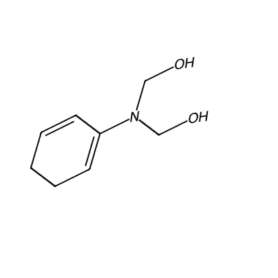 OCN(CO)C1=CCCC=C1